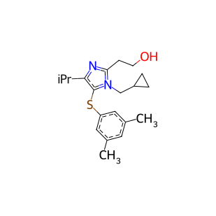 Cc1cc(C)cc(Sc2c(C(C)C)nc(CCO)n2CC2CC2)c1